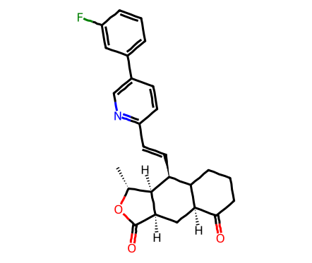 C[C@H]1OC(=O)[C@@H]2C[C@@H]3C(=O)CCCC3[C@H](/C=C/c3ccc(-c4cccc(F)c4)cn3)[C@H]12